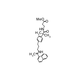 COC(=O)CCNC(=O)C(C)(C)c1ccc(CCCN[C@H](C)c2cccc3ccccc23)cc1